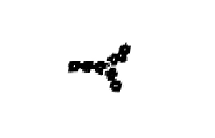 CC(C)c1cc(-c2ccc(-c3ccccc3)cc2)ccc1N(c1ccc(-c2ccccc2)cc1)c1ccc2c(c1)C(C)(C)c1ccccc1-2